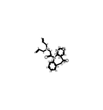 C=CCN(CC=C)CC(=O)N1c2ccccc2CC(=O)c2cncnc21